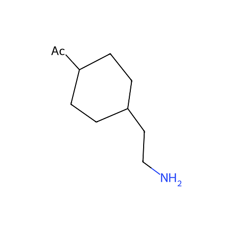 CC(=O)C1CCC(CCN)CC1